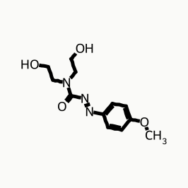 COc1ccc(N=NC(=O)N(CCO)CCO)cc1